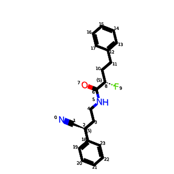 N#C[C@@H](CCNC(=O)[C@@H](F)CCc1ccccc1)c1ccccc1